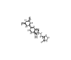 C[C@@H]1CCCN1CCc1nc2cc(-c3cc(F)cc(F)c3)ccc2[nH]1